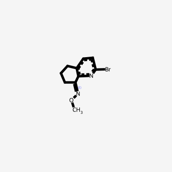 CO/N=C1\CCCc2ccc(Br)nc21